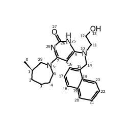 C[C@@H]1CCCCN(c2cc(N(CCO)Cc3cccc4ccccc34)[nH]c(=O)n2)C1